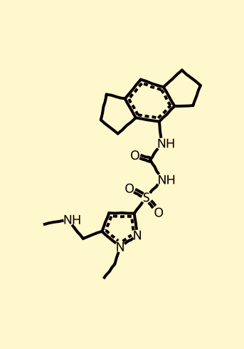 CCn1nc(S(=O)(=O)NC(=O)Nc2c3c(cc4c2CCC4)CCC3)cc1CNC